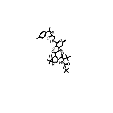 C=CCC(NC(=O)[C@@H]1[C@H]2[C@@H](CN1C(=O)[C@@H](NC(=O)OC(C)(C)C)C(C)(C)C)C2(C)C)C(=O)C(=O)NCC(=O)NC(C)c1ccc(C)cc1